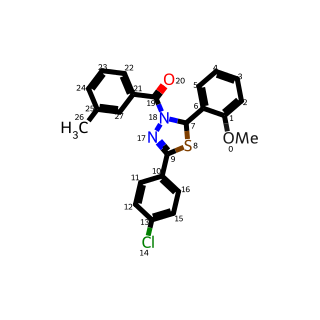 COc1ccccc1C1SC(c2ccc(Cl)cc2)=NN1C(=O)c1cccc(C)c1